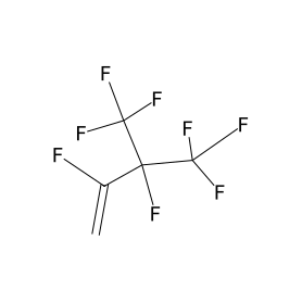 C=C(F)C(F)(C(F)(F)F)C(F)(F)F